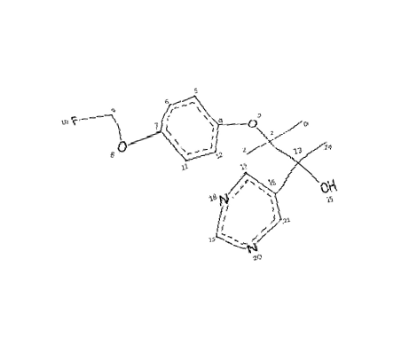 CC(C)(Oc1ccc(OCF)cc1)C(C)(O)c1cncnc1